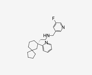 Fc1cncc(CNCC[C@@]2(c3ccccn3)CCCC3(CCCC3)C2)c1